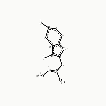 CON=C(C)Cc1sc2ccc(Cl)cc2c1Cl